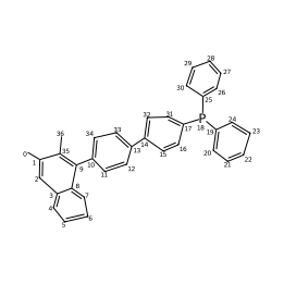 Cc1cc2ccccc2c(-c2ccc(-c3ccc(P(c4ccccc4)c4ccccc4)cc3)cc2)c1C